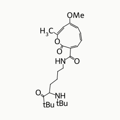 COc1ccccc(C(=O)NCCCCC(NC(C)(C)C)C(=O)C(C)(C)C)c(=O)oc(C)c1